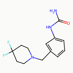 NC(=O)Nc1cc[c]c(CN2CCC(F)(F)CC2)c1